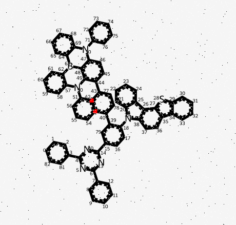 c1ccc(-c2nc(-c3ccccc3)nc(-c3ccc(-n4c5ccccc5c5c6sc7ccccc7c6ccc54)c(-c4ccc(-c5ccc6c7c5N(c5ccccc5)c5ccccc5B7c5ccccc5N6c5ccccc5)cc4)c3)n2)cc1